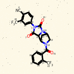 N#Cc1ccc(N2C(=O)C3C4CC(CN4C(=O)c4ccccc4C(F)(F)F)N3C2=O)cc1C(F)(F)F